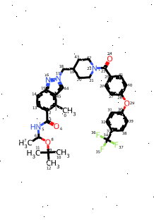 Cc1c(C(=O)NC(C)OC(C)(C)C)ccc2nn(CC3CCN(C(=O)c4ccc(Oc5ccc(C(F)(F)F)cc5)cc4)CC3)cc12